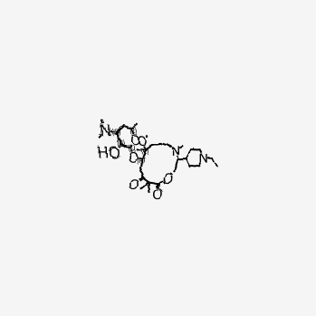 CCN1CCC(C2COC(=O)C(C)(C)C(=O)C[C@@H](O[C@@H]3O[C@H](C)C[C@H](N(C)C)[C@H]3O)[C@](C)(OC)CCCN2C)CC1